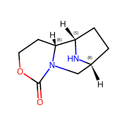 O=C1OCC[C@@H]2[C@@H]3CC[C@H](CN12)N3